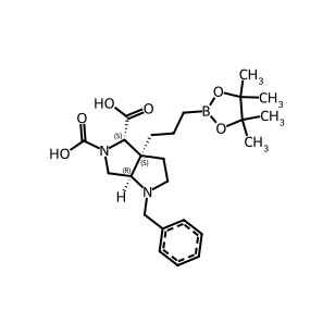 CC1(C)OB(CCC[C@]23CCN(Cc4ccccc4)[C@H]2CN(C(=O)O)[C@@H]3C(=O)O)OC1(C)C